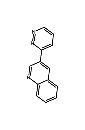 [c]1nc2ccccc2cc1-c1cccnn1